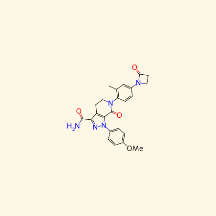 COc1ccc(-n2nc(C(N)=O)c3c2C(=O)N(c2ccc(N4CCC4=O)cc2C)CC3)cc1